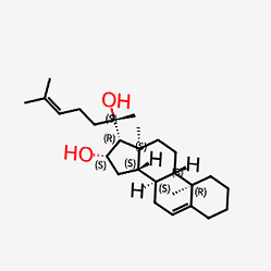 CC(C)=CCC[C@](C)(O)[C@H]1[C@@H](O)C[C@H]2[C@@H]3CC=C4CCCC[C@]4(C)[C@H]3CC[C@@]21C